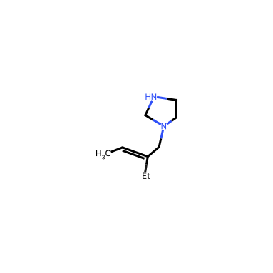 CC=C(CC)CN1CCNC1